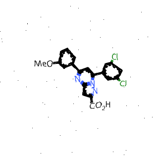 COc1cccc(-c2cc(-c3cc(Cl)cc(Cl)c3)n3nc(C(=O)O)cc3n2)c1